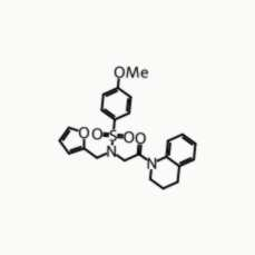 COc1ccc(S(=O)(=O)N(CC(=O)N2CCCc3ccccc32)Cc2ccco2)cc1